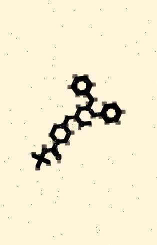 CO[C@@H](CN1CCN(C(=O)OC(C)(C)C)CC1)CN(Cc1ccccc1)Cc1ccccc1